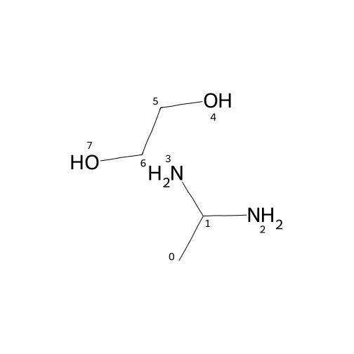 CC(N)N.OCCO